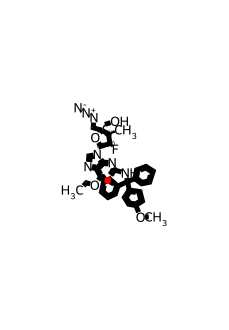 CCOc1nc(NC(c2ccccc2)(c2ccccc2)c2ccc(OC)cc2)nc2c1ncn2[C@@H]1O[C@@](CO)(CN=[N+]=[N-])[C@@H](C)[C@H]1F